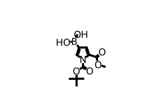 COC(=O)c1cc(B(O)O)cn1C(=O)OC(C)(C)C